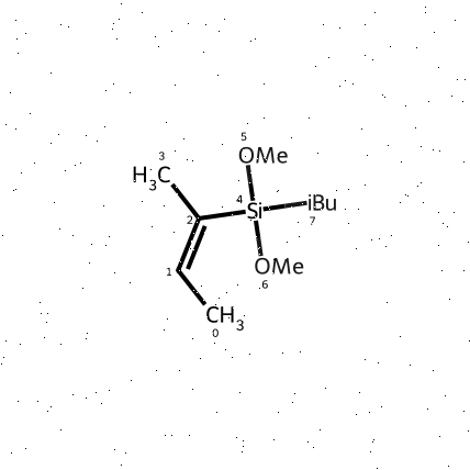 C/C=C(/C)[Si](OC)(OC)C(C)CC